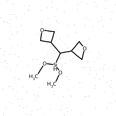 CO[SiH](OC)C(C1COC1)C1COC1